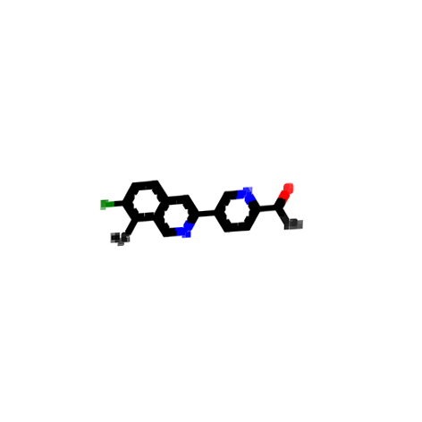 CCCCC(=O)c1ccc(-c2cc3ccc(F)c(C)c3cn2)cn1